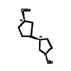 CO[C@@H]1CCN([C@H]2CCN(C(C)(C)C)C2)C1